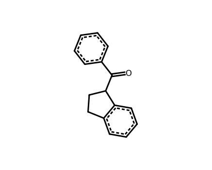 O=C(c1ccccc1)C1CCc2ccccc21